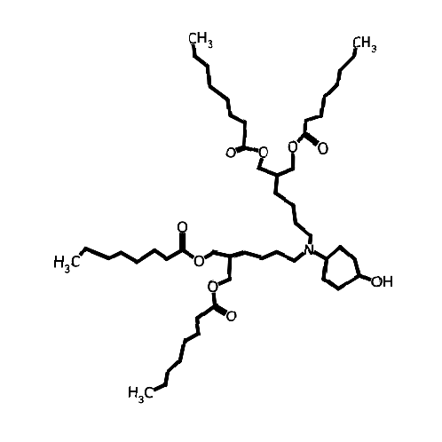 CCCCCCCC(=O)OCC(CCCCN(CCCCC(COC(=O)CCCCCCC)COC(=O)CCCCCCC)C1CCC(O)CC1)COC(=O)CCCCCCC